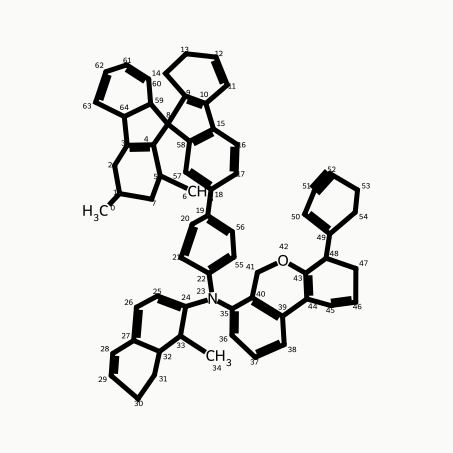 CC1CC2=C(C(C)C1)C1(C3=C(C=CCC3)c3ccc(-c4ccc(N(C5=CC=C6C=CCCC6C5C)c5cccc6c5COC5=C6C=CCC5C5=CC#CCC5)cc4)cc31)C1C=CC=CC21